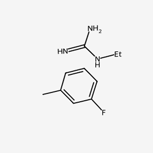 CCNC(=N)N.Cc1cccc(F)c1